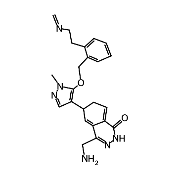 C=NCCc1ccccc1COc1c(C2C=c3c(CN)n[nH]c(=O)c3=CC2)cnn1C